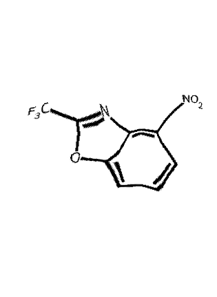 O=[N+]([O-])c1cccc2oc(C(F)(F)F)nc12